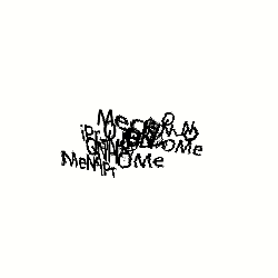 CCC(C)[C@@H]([C@H](CC(=O)N1C[C@H](OC)C[C@H]1[C@H](OC)[C@@H](C)C(=O)NCCc1ccccn1)OC)N(C)C(=O)[C@@H](NC(=O)[C@@H](NC)C(C)C)C(C)C